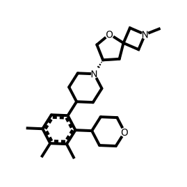 Cc1cc(C2CCN([C@@H]3COC4(C3)CN(C)C4)CC2)c(C2CCOCC2)c(C)c1C